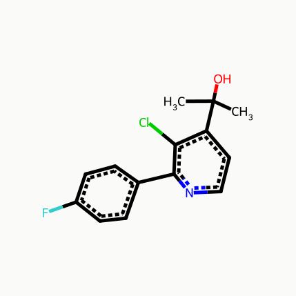 CC(C)(O)c1ccnc(-c2ccc(F)cc2)c1Cl